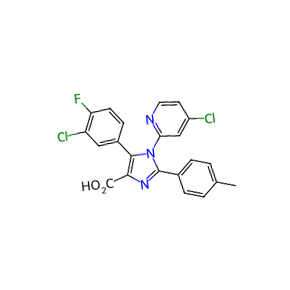 Cc1ccc(-c2nc(C(=O)O)c(-c3ccc(F)c(Cl)c3)n2-c2cc(Cl)ccn2)cc1